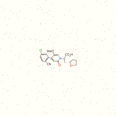 COc1cn(C(C[C@@H]2CCCO2)C(=O)O)c(=O)cc1-c1cc(Cl)ccc1C#N